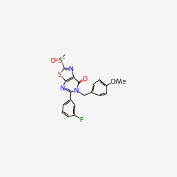 COc1ccc(Cn2c(-c3cccc(F)c3)nc3sc([S+](C)[O-])nc3c2=O)cc1